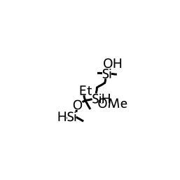 CCC(C)(O[SiH](C)C)[SiH](CC[Si](C)(C)O)OC